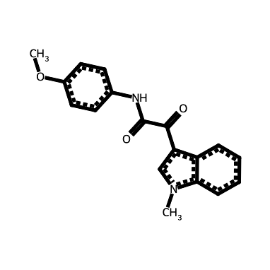 COc1ccc(NC(=O)C(=O)c2cn(C)c3ccccc23)cc1